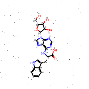 O=C(O)[C@H](Cc1c[nH]c2ccccc12)Nc1ncnc2c1ncn2[C@@H]1O[C@H](CO)C(O)C1O